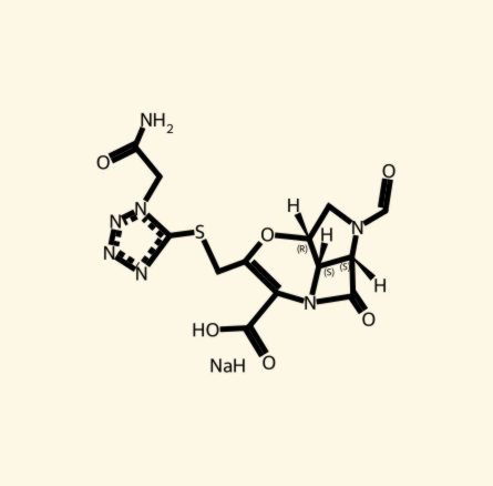 NC(=O)Cn1nnnc1SCC1=C(C(=O)O)N2C(=O)[C@@H]3[C@H]2[C@@H](CN3C=O)O1.[NaH]